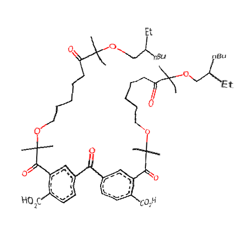 CCCCC(CC)COC(C)(C)C(=O)CCCCCOC(C)(C)C(=O)c1cc(C(=O)c2ccc(C(=O)O)c(C(=O)C(C)(C)OCCCCCC(=O)C(C)(C)OCC(CC)CCCC)c2)ccc1C(=O)O